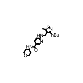 CCCCc1noc(C)c1CNc1ccc(C(=O)NC2CCOCC2)cn1